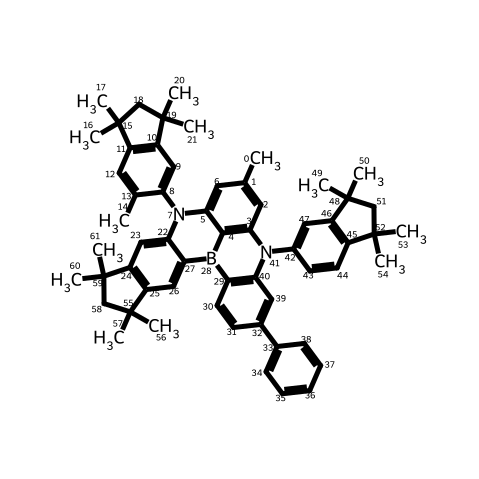 Cc1cc2c3c(c1)N(c1cc4c(cc1C)C(C)(C)CC4(C)C)c1cc4c(cc1B3c1ccc(-c3ccccc3)cc1N2c1ccc2c(c1)C(C)(C)CC2(C)C)C(C)(C)CC4(C)C